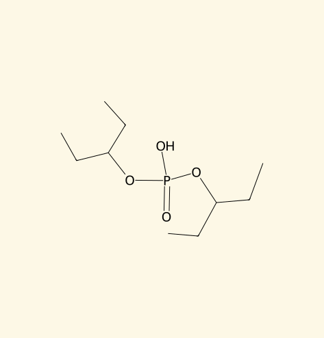 CCC(CC)OP(=O)(O)OC(CC)CC